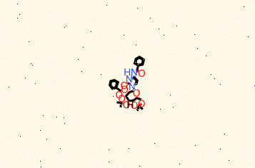 CC1(C)OC2C(O1)[C@@H]1OC(C)(C)OCC1O[C@@H](n1ccc(NC(=O)c3ccccc3)nc1=O)C2OC(=O)c1ccccc1